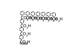 O=C(O)c1ccccc1.O=C(O)c1ccccc1.O=C(O)c1ccccc1.O=C(O)c1ccccc1.O=C(O)c1ccccc1.O=C(O)c1ccccc1.O=C(O)c1ccccc1.O=C(O)c1ccccc1.O=C(O)c1ccccc1.O=C(O)c1ccccc1.[NaH]